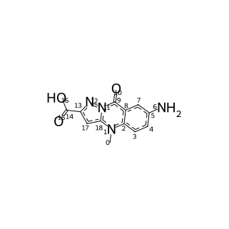 Cn1c2ccc(N)cc2c(=O)n2nc(C(=O)O)cc12